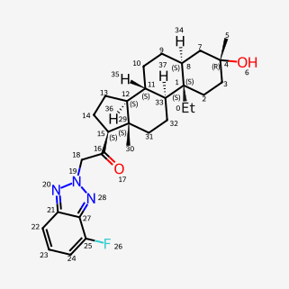 CC[C@]12CC[C@@](C)(O)C[C@@H]1CC[C@H]1[C@@H]3CC[C@H](C(=O)Cn4nc5cccc(F)c5n4)[C@@]3(C)CC[C@@H]12